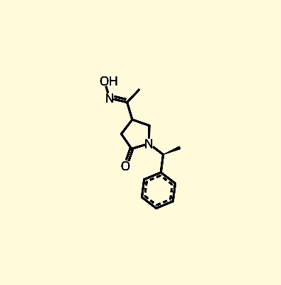 CC(=NO)C1CC(=O)N([C@@H](C)c2ccccc2)C1